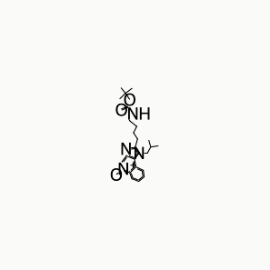 CC(C)Cn1c(CCCCNC(=O)OC(C)(C)C)nc2c[n+]([O-])c3ccccc3c21